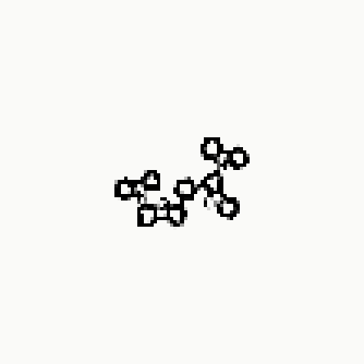 c1cc(-c2cc(-n3c4ccccc4c4ccccc43)cc3c2oc2ccccc23)cc(-c2cccc3c2oc2c(-n4c5ccccc5c5ccccc54)cccc23)c1